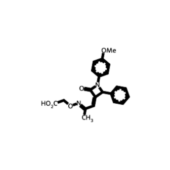 COc1ccc(N2C(=O)C(=CC(C)=NOCC(=O)O)C2c2ccccc2)cc1